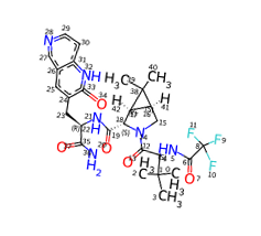 CC(C)(C)[C@H](NC(=O)C(F)(F)F)C(=O)N1C[C@H]2[C@@H]([C@H]1C(=O)N[C@H](Cc1cc3cnccc3[nH]c1=O)C(N)=O)C2(C)C